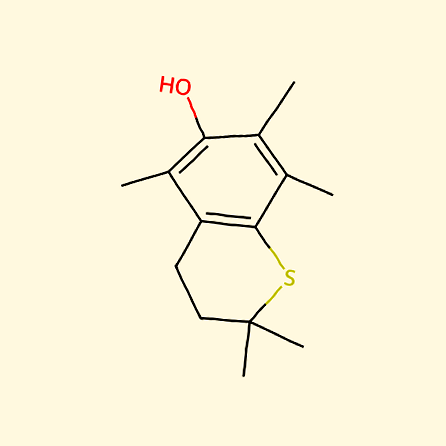 Cc1c(C)c2c(c(C)c1O)CCC(C)(C)S2